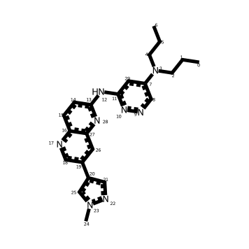 CCCN(CCC)c1cnnc(Nc2ccc3ncc(-c4cnn(C)c4)cc3n2)c1